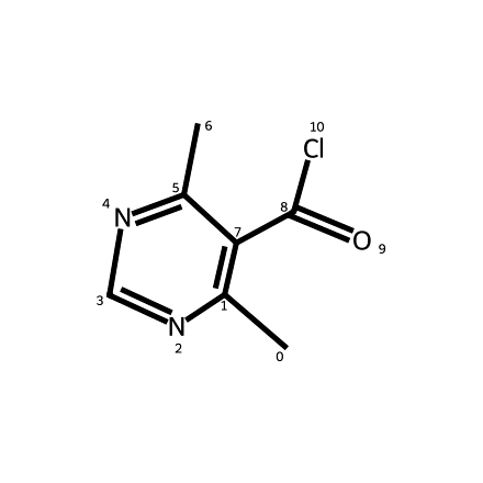 Cc1ncnc(C)c1C(=O)Cl